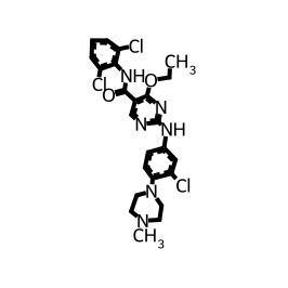 CCOc1nc(Nc2ccc(N3CCN(C)CC3)c(Cl)c2)ncc1C(=O)Nc1c(Cl)cccc1Cl